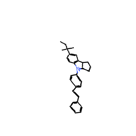 CCC(C)(C)c1ccc2c(c1)C1CCCC1N2c1ccc(/C=C/c2ccccc2)cc1